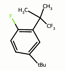 CC(C)(C)c1ccc(F)c(C(C)(C)C(F)(F)F)c1